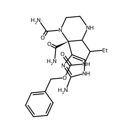 CCC(NC(=O)OCc1ccccc1)C1NCCN(C(N)=O)[C@@]1(C(N)=O)c1c[nH]c(N)n1